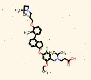 CCOc1cc(O[C@H]2CCc3c(-c4cccc(OCCCN5CCC5(C)C)c4C)cccc32)c(Cl)cc1CN(CCC(=O)O)C(C)C